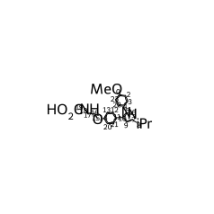 COc1ccc(-n2nc(C(C)C)cc2-c2ccc(OCCNC(=O)O)cc2)cc1